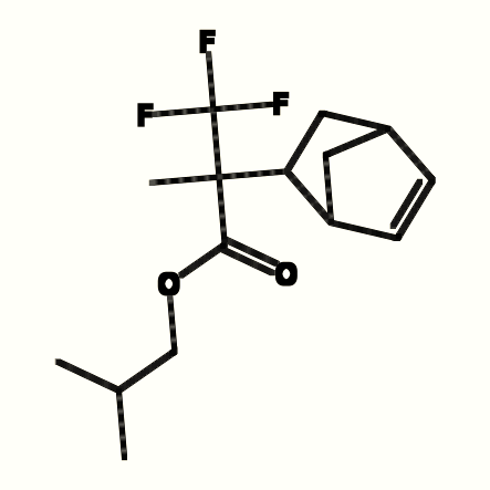 CC(C)COC(=O)C(C)(C1CC2C=CC1C2)C(F)(F)F